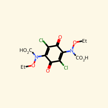 CCON(C(=O)O)C1=C(Cl)C(=O)C(N(OCC)C(=O)O)=C(Cl)C1=O